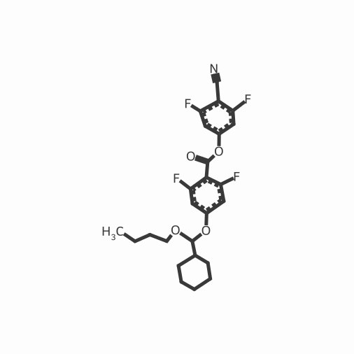 CCCCOC(Oc1cc(F)c(C(=O)Oc2cc(F)c(C#N)c(F)c2)c(F)c1)C1CCCCC1